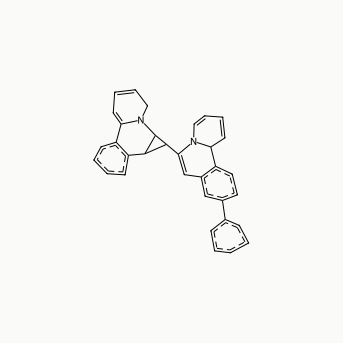 C1=CCN2C(=C1)c1ccccc1C1C(C3=Cc4cc(-c5ccccc5)ccc4C4C=CC=CN34)C12